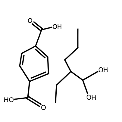 CCCC(CC)C(O)O.O=C(O)c1ccc(C(=O)O)cc1